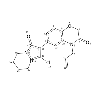 C=CCN1C(=O)COc2ccc(-c3c(Cl)n4n(c3=O)CCCC4)cc21